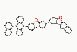 c1ccc2cc3c(cc2c1)oc1ccc(-c2ccc4c(c2)oc2cc(-c5c6ccccc6c(-c6cccc7ccccc67)c6ccccc56)ccc24)cc13